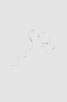 O=C(/C=C/c1cc[c]c(Cl)c1-c1ccc(Cl)cc1Cl)NCCO